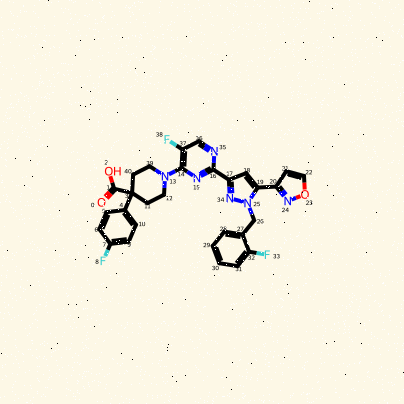 O=C(O)C1(c2ccc(F)cc2)CCN(c2nc(-c3cc(-c4ccon4)n(Cc4ccccc4F)n3)ncc2F)CC1